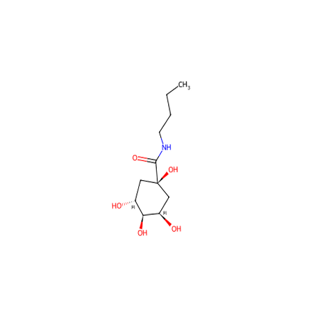 CCCCNC(=O)[C@]1(O)C[C@@H](O)[C@@H](O)[C@H](O)C1